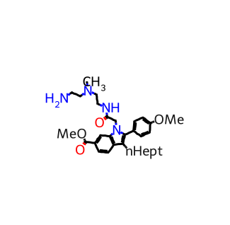 CCCCCCCc1c(-c2ccc(OC)cc2)n(CC(=O)NCCN(C)CCN)c2cc(C(=O)OC)ccc12